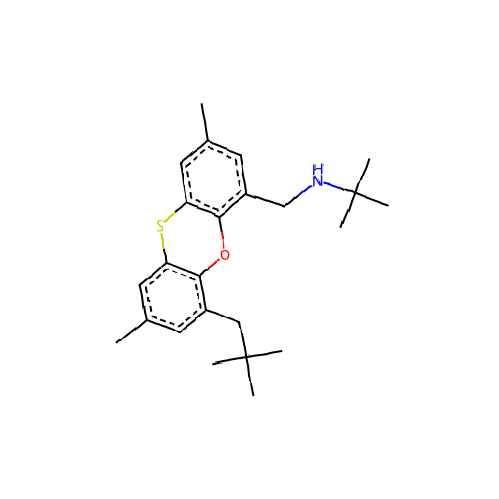 Cc1cc(CNC(C)(C)C)c2c(c1)Sc1cc(C)cc(CC(C)(C)C)c1O2